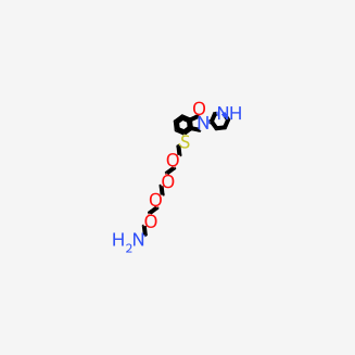 NCCOCCOCCOCCOCCSc1cccc2c1CN(C1CCCNC1)C2=O